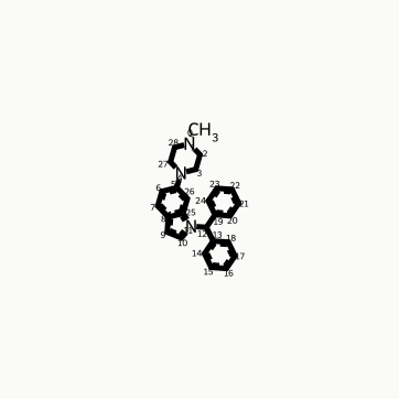 CN1CCN(c2ccc3ccn(C(c4ccccc4)c4ccccc4)c3c2)CC1